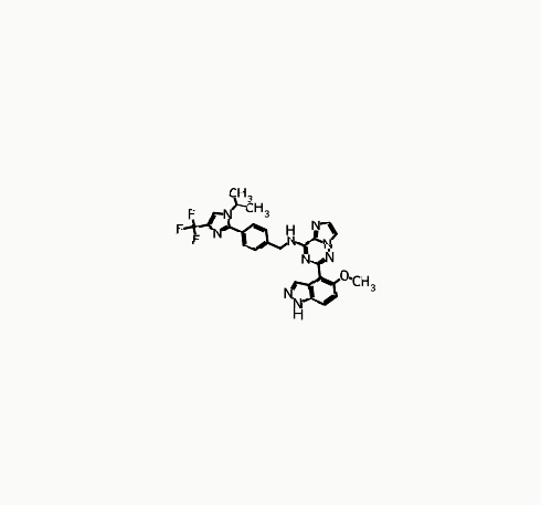 COc1ccc2[nH]ncc2c1-c1nc(NCc2ccc(-c3nc(C(F)(F)F)cn3C(C)C)cc2)c2nccn2n1